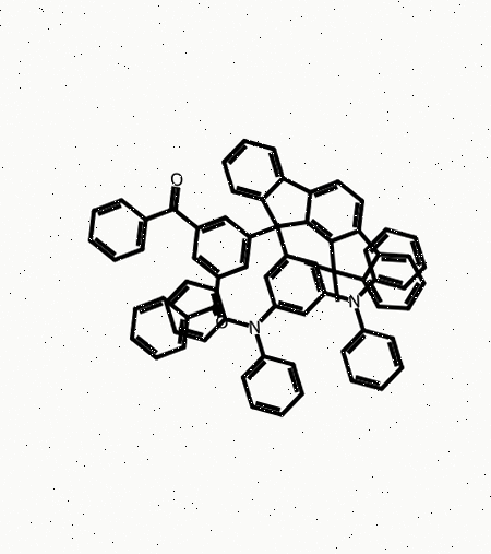 CC1(C)c2ccccc2-c2ccc3c(c21)C(c1cc(C(=O)c2ccccc2)cc(C(=O)c2ccccc2)c1)(c1cc(N(c2ccccc2)c2ccccc2)cc(N(c2ccccc2)c2ccccc2)c1)c1ccccc1-3